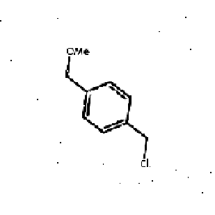 COCc1ccc(CCl)cc1